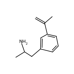 C=C(C)c1cccc(CC(C)N)c1